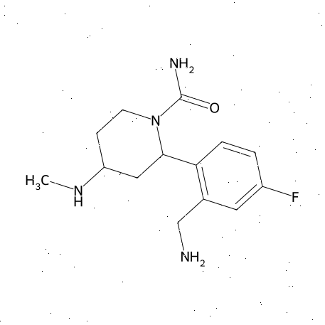 CNC1CCN(C(N)=O)C(c2ccc(F)cc2CN)C1